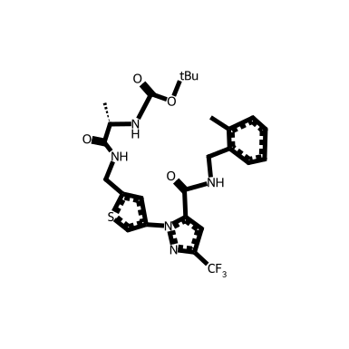 Cc1ccccc1CNC(=O)c1cc(C(F)(F)F)nn1-c1csc(CNC(=O)[C@H](C)NC(=O)OC(C)(C)C)c1